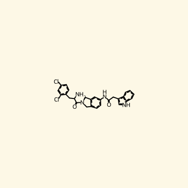 NC(Cc1ccc(Cl)cc1Cl)C(=O)N1Cc2ccc(NC(=O)Cc3c[nH]c4ccccc34)cc2C1